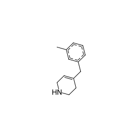 Cc1cccc(CC2=CCNCC2)c1